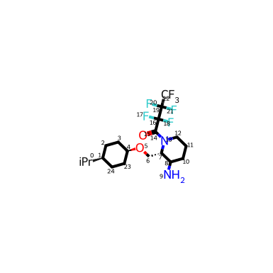 CC(C)[C@H]1CC[C@@H](OC[C@H]2C(N)CCCN2C(=O)C(F)(F)C(F)(F)C(F)(F)F)CC1